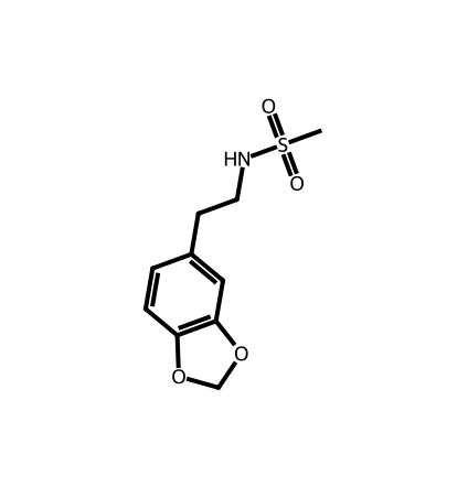 CS(=O)(=O)NCCc1ccc2c(c1)OCO2